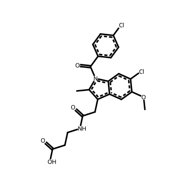 COc1cc2c(CC(=O)NCCC(=O)O)c(C)n(C(=O)c3ccc(Cl)cc3)c2cc1Cl